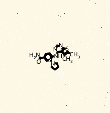 Cc1sc2ncnc(Nc3ccc(C(N)=O)cc3N3CCCC3)c2c1C